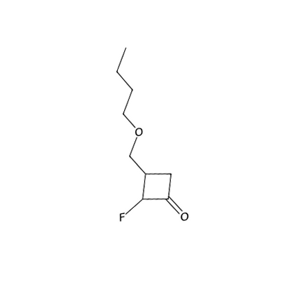 CCCCOCC1CC(=O)C1F